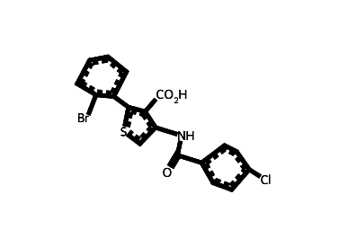 O=C(Nc1csc(-c2ccccc2Br)c1C(=O)O)c1ccc(Cl)cc1